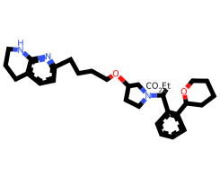 CCOC(=O)C(c1ccccc1C1CCCCO1)N1CCC(OCCCCc2ccc3c(n2)NCCC3)C1